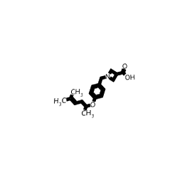 CC(C)=CCC(C)Oc1ccc(CN2CC(C(=O)O)C2)cc1